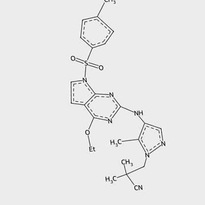 CCOc1nc(Nc2cnn(CC(C)(C)C#N)c2C)nc2c1ccn2S(=O)(=O)c1ccc(C)cc1